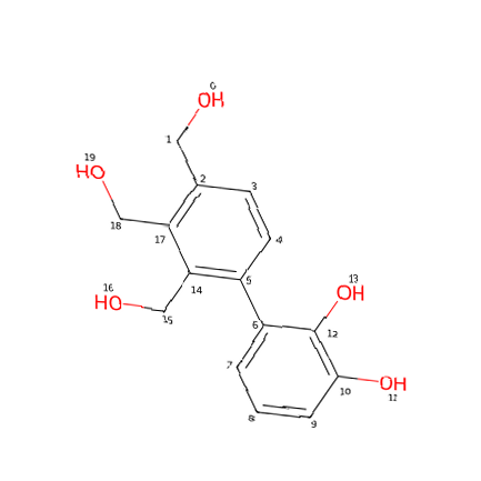 OCc1ccc(-c2cccc(O)c2O)c(CO)c1CO